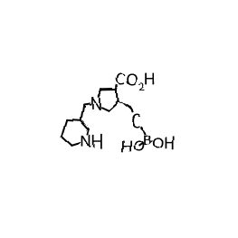 O=C(O)[C@@H]1CN(CC2CCCNC2)C[C@@H]1CCCB(O)O